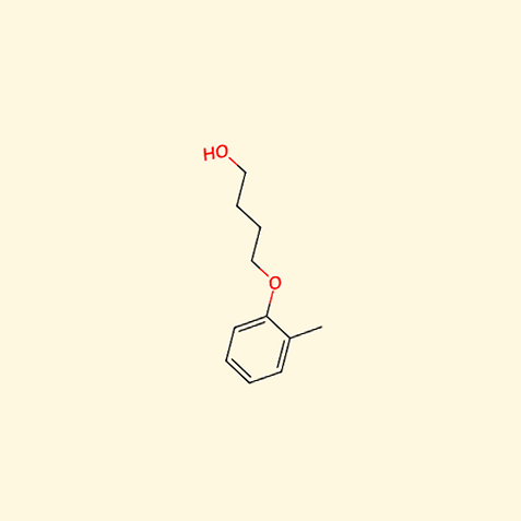 Cc1ccccc1OCCCCO